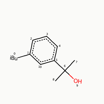 CCC(C)c1cccc(C(C)(C)O)c1